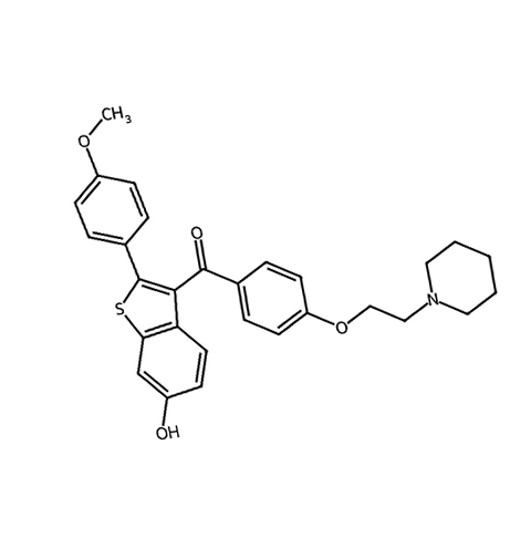 COc1ccc(-c2sc3cc(O)ccc3c2C(=O)c2ccc(OCCN3CCCCC3)cc2)cc1